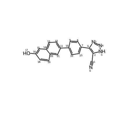 N#Cc1[nH]nnc1-c1ccc(-c2ccc3cc(O)ccc3c2)cc1